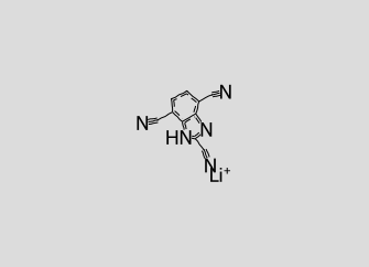 N#Cc1nc2c(C#N)ccc(C#N)c2[nH]1.[Li+]